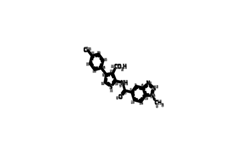 Cn1nnc2cc(C(=O)Nc3scc(-c4ccc(Cl)cc4)c3C(=O)O)ccc21